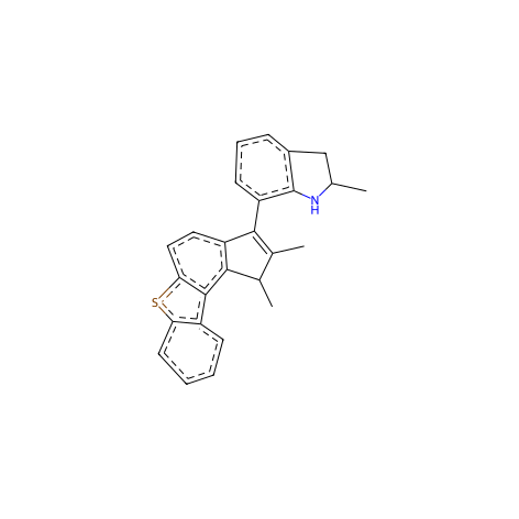 CC1=C(c2cccc3c2NC(C)C3)c2ccc3sc4ccccc4c3c2C1C